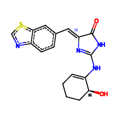 O=C1NC(NC2=CCCC[C@@H]2O)=N/C1=C\c1ccc2ncsc2c1